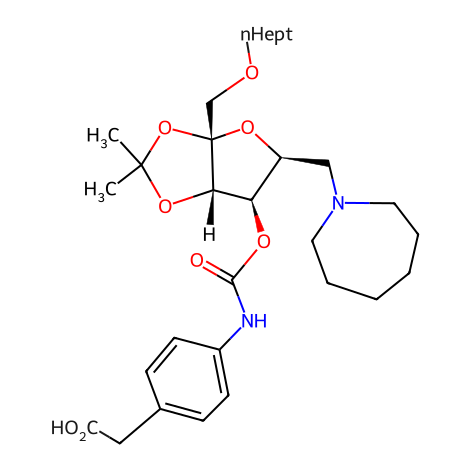 CCCCCCCOC[C@@]12O[C@@H](CN3CCCCCC3)[C@@H](OC(=O)Nc3ccc(CC(=O)O)cc3)[C@@H]1OC(C)(C)O2